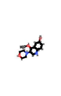 COc1c(N2CCOCC2)cnc2ccc(Br)cc12